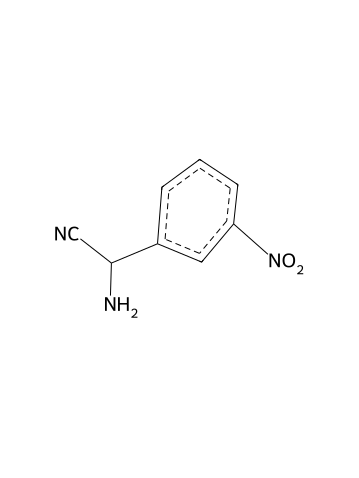 N#CC(N)c1cccc([N+](=O)[O-])c1